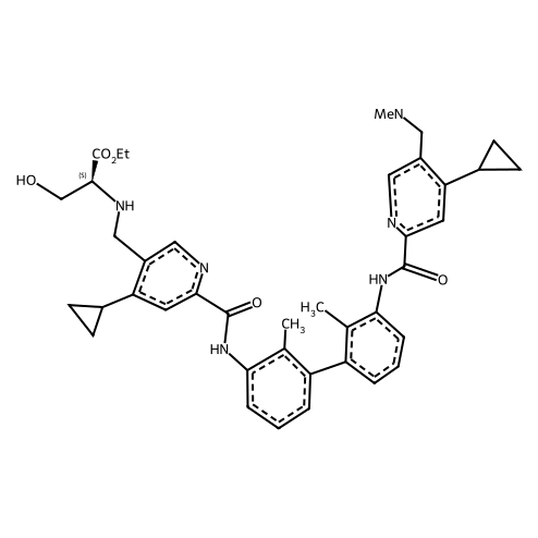 CCOC(=O)[C@H](CO)NCc1cnc(C(=O)Nc2cccc(-c3cccc(NC(=O)c4cc(C5CC5)c(CNC)cn4)c3C)c2C)cc1C1CC1